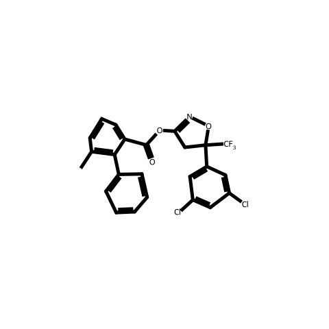 Cc1cccc(C(=O)OC2=NOC(c3cc(Cl)cc(Cl)c3)(C(F)(F)F)C2)c1-c1ccccc1